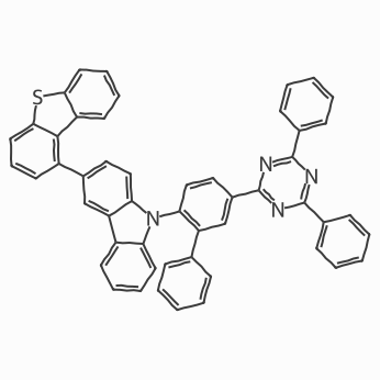 c1ccc(-c2nc(-c3ccccc3)nc(-c3ccc(-n4c5ccccc5c5cc(-c6cccc7sc8ccccc8c67)ccc54)c(-c4ccccc4)c3)n2)cc1